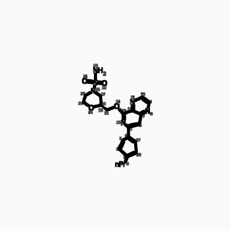 CCCc1ccc(-c2cc3nccnc3c(OC[C@@H]3CN(S(N)(=O)=O)CCO3)n2)cc1